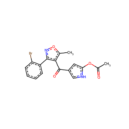 CC(=O)Oc1cc(C(=O)c2c(-c3ccccc3Br)noc2C)c[nH]1